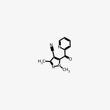 Cc1nn(C)c(C(=O)c2ccccn2)c1C#N